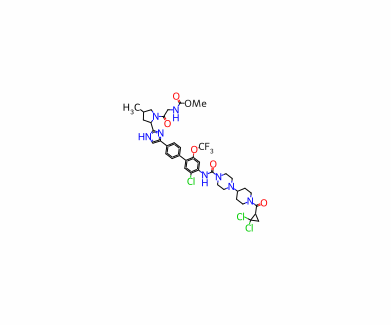 COC(=O)NCC(=O)N1CC(C)CC1c1nc(-c2ccc(-c3cc(Cl)c(NC(=O)N4CCN(C5CCN(C(=O)C6CC6(Cl)Cl)CC5)CC4)cc3OC(F)(F)F)cc2)c[nH]1